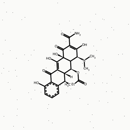 CCC(=O)O[C@@H]1C2[C@H](N(C)C)C(O)=C(C(N)=O)C(=O)[C@@]2(O)C(O)=C2C(=O)c3c(O)cccc3[C@H](C)[C@H]21